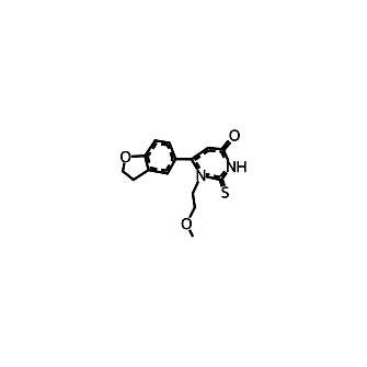 COCCn1c(-c2ccc3c(c2)CCO3)cc(=O)[nH]c1=S